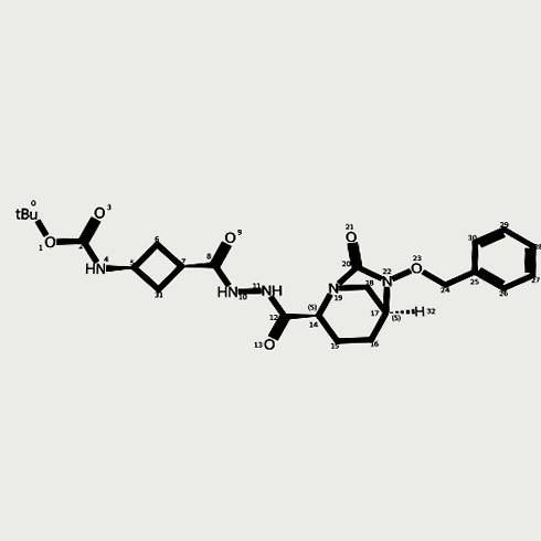 CC(C)(C)OC(=O)N[C@H]1C[C@@H](C(=O)NNC(=O)[C@@H]2CC[C@H]3CN2C(=O)N3OCc2ccccc2)C1